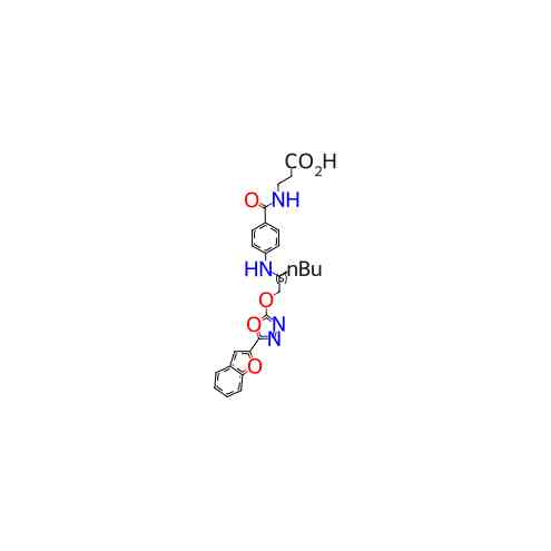 CCCC[C@@H](COc1nnc(-c2cc3ccccc3o2)o1)Nc1ccc(C(=O)NCCC(=O)O)cc1